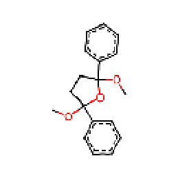 COC1(c2ccccc2)CCC(OC)(c2ccccc2)O1